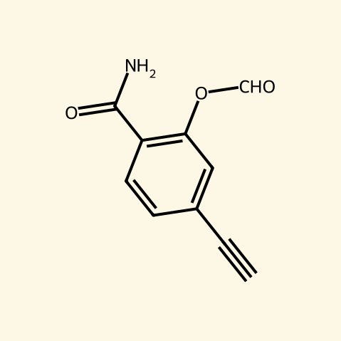 C#Cc1ccc(C(N)=O)c(OC=O)c1